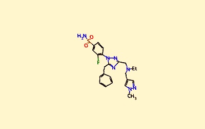 CCN(Cc1cnn(C)c1)Cc1nc(Cc2ccccc2)n(-c2ccc(S(N)(=O)=O)cc2F)n1